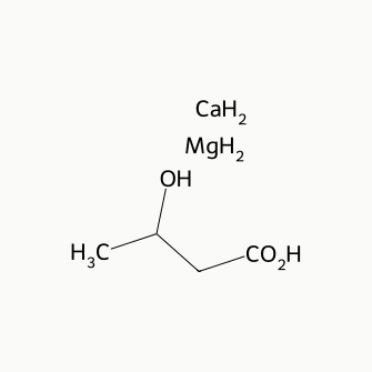 CC(O)CC(=O)O.[CaH2].[MgH2]